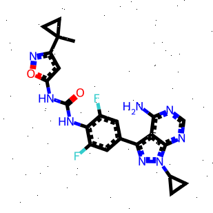 CC1(c2cc(NC(=O)Nc3c(F)cc(-c4nn(C5CC5)c5ncnc(N)c45)cc3F)on2)CC1